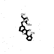 CCCCc1nnc(CO)n1Cc1ccc2oc(-c3ccccc3C#N)c(Br)c2c1